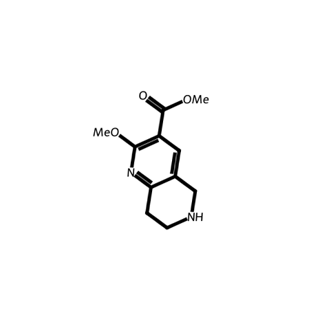 COC(=O)c1cc2c(nc1OC)CCNC2